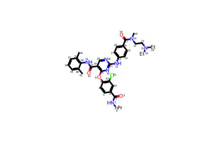 CCCNC(=O)c1ccc(Oc2nc(Nc3ccc(C(=O)N(C)CCN(CC)CC)cc3)ncc2C(=O)Nc2c(C)cccc2C)c(Cl)c1